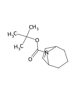 CC(C)(C)OC(=O)N1C2C=CC1CCC2